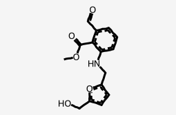 COC(=O)c1c(C=O)cccc1NCc1ccc(CO)o1